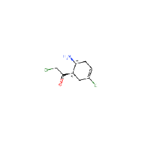 N[C@H]1CC=C(Cl)C[C@H]1C(=O)CCl